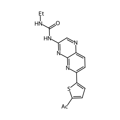 CCNC(=O)Nc1cnc2ccc(-c3ccc(C(C)=O)s3)nc2n1